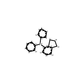 c1ccc(P(c2ccccc2)c2cccc3c2CCC3)cc1